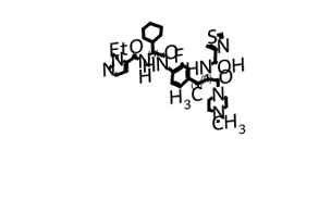 CCn1nccc1C(=O)N[C@H](C(=O)Nc1ccc([C@H](C)[C@@H](NC(O)c2cscn2)C(=O)N2CCN(C)CC2)cc1F)C1CCCCC1